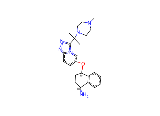 CN1CCN(C(C)(C)c2nnc3ccc(O[C@@H]4CC[C@H](N)c5ccccc54)cn23)CC1